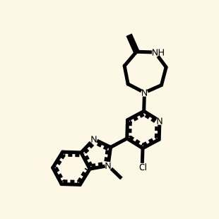 C=C1CCN(c2cc(-c3nc4ccccc4n3C)c(Cl)cn2)CCN1